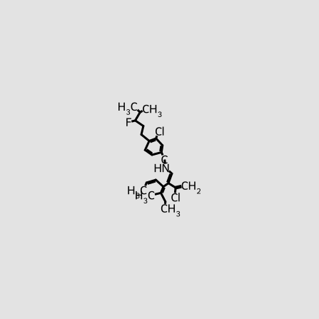 C=C(Cl)C(=C/NCc1ccc(CCC(F)C(C)C)c(Cl)c1)/C(/C=C\C)=C(/C)CC